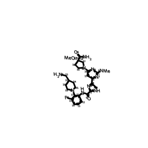 CNc1nc(-c2c[nH]c(C(=O)Nc3cccc(F)c3N3CCC(CN)CC3)n2)cc(N2CC[C@@](OC)(C(N)=O)C2)n1